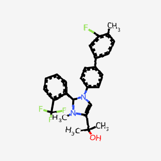 Cc1ccc(-c2ccc(N3C=C(C(C)(C)O)N(C)C3c3ccccc3C(F)(F)F)cc2)cc1F